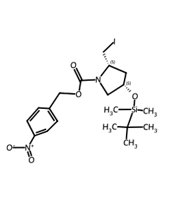 CC(C)(C)[Si](C)(C)O[C@H]1C[C@@H](CI)N(C(=O)OCc2ccc([N+](=O)[O-])cc2)C1